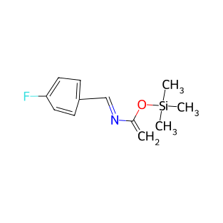 C=C(N=Cc1ccc(F)cc1)O[Si](C)(C)C